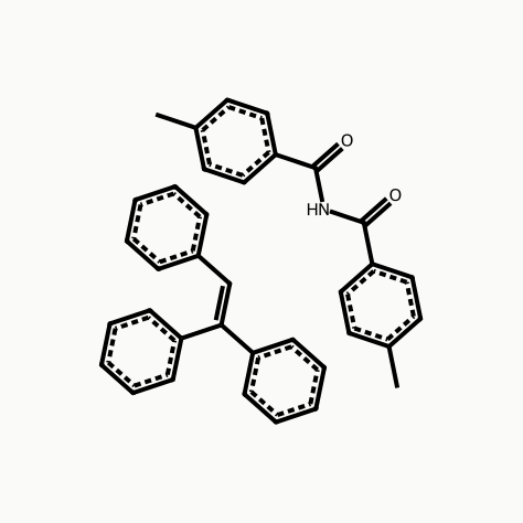 C(=C(c1ccccc1)c1ccccc1)c1ccccc1.Cc1ccc(C(=O)NC(=O)c2ccc(C)cc2)cc1